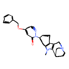 Cn1c2c(c3ccc(-n4ncc(OCc5ccccc5)cc4=O)cc31)CN1CCC2CC1